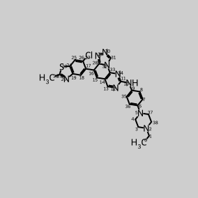 CCN1CCN(c2ccc(Nc3ncc4cc(-c5cc6nc(C)sc6cc5Cl)c5nncn5c4n3)cc2)CC1